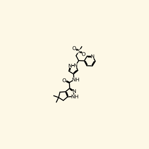 CC1(C)Cc2[nH]nc(C(=O)Nc3cnn(C(CS(C)(=O)=O)c4cccnc4)c3)c2C1